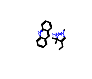 CCC1=CN(C)NC1(C)C.c1ccc2nc3ccccc3cc2c1